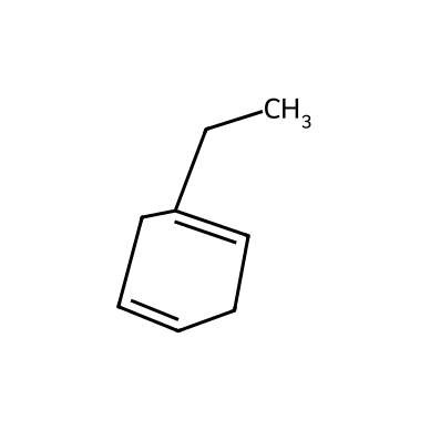 CCC1=CCC=CC1